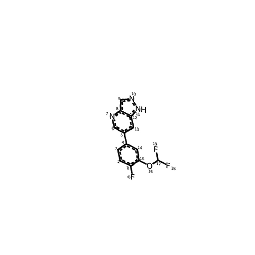 Fc1ccc(-c2cnc3cn[nH]c3c2)cc1OC(F)F